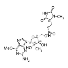 COc1nc(N)nc2c1ncn2[C@@H]1O[C@H](CO[PH](=O)SC[C@@H]2C(=O)NC(=O)N2C)[C@@H](O)[C@@]1(C)O